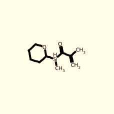 C=C(C)C(=O)[SiH](C)C1CCCCO1